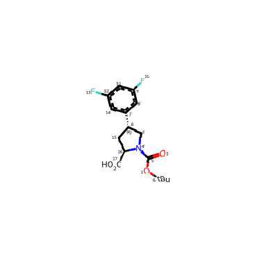 CC(C)(C)OC(=O)N1C[C@@H](c2cc(F)cc(F)c2)CC1C(=O)O